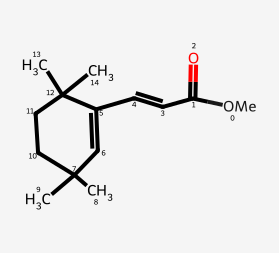 COC(=O)C=CC1=CC(C)(C)CCC1(C)C